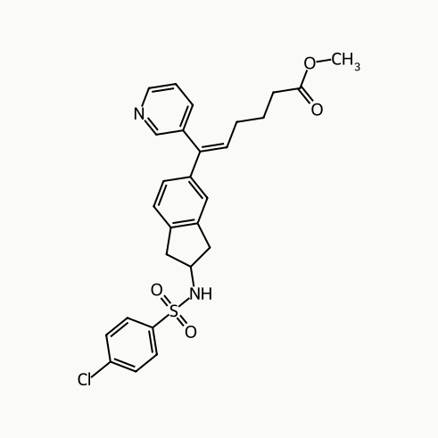 COC(=O)CCCC=C(c1cccnc1)c1ccc2c(c1)CC(NS(=O)(=O)c1ccc(Cl)cc1)C2